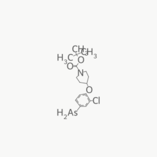 CC(C)(C)OC(=O)N1CCC(Oc2ccc([AsH2])cc2Cl)CC1